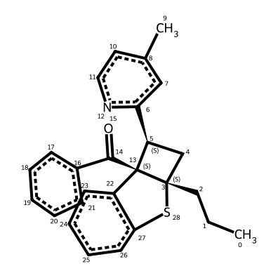 CCC[C@]12C[C@H](c3cc(C)ccn3)[C@@]1(C(=O)c1ccccc1)c1ccccc1S2